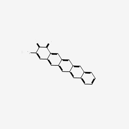 NC1=Cc2cc3cc4cc5ccccc5cc4cc3cc2C(=O)C1=O